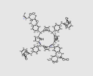 C/C=C\C1OOCC(=O)N1Cc1ccc(C2C3=NC(C=C3)C(c3ccc(CN4C(=O)C5C=CC4OO5)cc3)c3ccc([nH]3)/C(c3ccc(CN(C=O)C4C=CC(C)OO4)cc3)=C3/C=CC(=N3)/C(c3ccc(CN4C(=O)C5C=CC4OO5)cc3)=C3/C=CC2N3)cc1